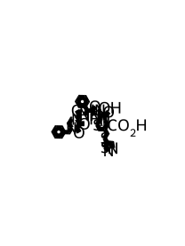 O=C(O)C1=C(CSc2cnns2)CS[C@H]2N1C(=O)[C@@]2(NO)NC(=O)C(NC(=O)N1CCN(Cc2ccccc2)C(=O)C1=O)c1ccccc1